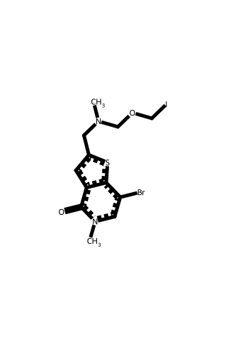 CN(COCI)Cc1cc2c(=O)n(C)cc(Br)c2s1